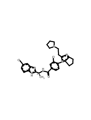 C[C@H](NC(=O)c1ccc(-n2c(CCN3CCCC3)nc3c2CCC3)c(Cl)c1)c1nc2cc(Cl)ccc2[nH]1